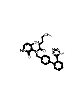 CCCCC(=O)N(Cc1ccc(-c2ccccc2-c2nnn[nH]2)cc1)c1c(N)cc[nH]c1=O